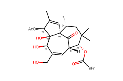 CCCC(=O)O[C@@H]1[C@@H]2C=C(CO)[C@@H](O)[C@]3(O)[C@@H](OC(C)=O)C(C)=C[C@@]3(C2=O)[C@H](C)CC1(C)C